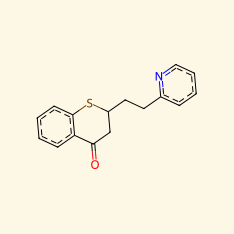 O=C1CC(CCc2ccccn2)Sc2ccccc21